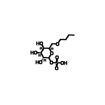 CCCCOC[C@H]1OC(OS(=O)(=O)O)[C@H](O)[C@@H](O)[C@H]1O